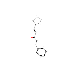 O=C(C=CC1CCCC1)CCc1ccccc1.[H+]